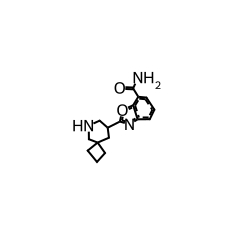 NC(=O)c1cccc2nc(C3CNCC4(CCC4)C3)oc12